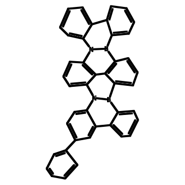 c1ccc(-c2ccc3c(c2)-c2ccccc2B2c4cccc5c4-c4c(cccc4N23)N2B5c3ccccc3-c3ccccc32)cc1